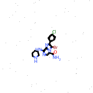 NC(=O)c1cnc(N[C@H]2CCCNC2)c2nc(-c3ccc(Cl)cc3)c(Br)n12